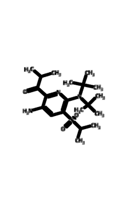 CC(C)C(=O)c1nc(N(C(C)(C)C)C(C)(C)C)c(S(=O)(=O)C(C)C)cc1N